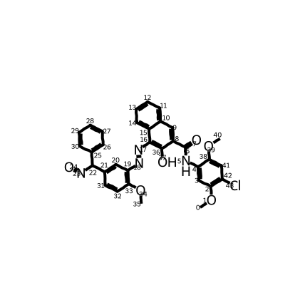 COc1cc(NC(=O)c2cc3ccccc3c(N=Nc3cc(C(N=O)c4ccccc4)ccc3OC)c2O)c(OC)cc1Cl